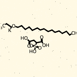 CCCCCCCCCCCCCCCCO[CH]([K])CC.O=C(O)CC(C(=O)O)S(=O)(=O)O